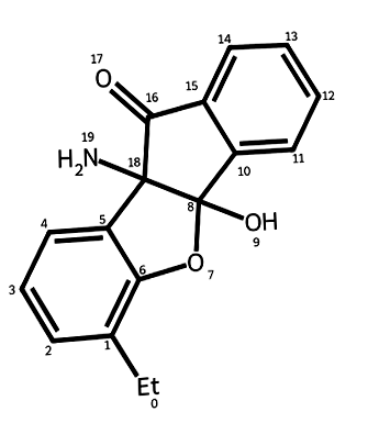 CCc1cccc2c1OC1(O)c3ccccc3C(=O)C21N